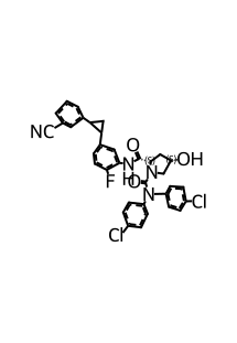 N#Cc1cccc(C2CC2c2ccc(F)c(NC(=O)[C@@H]3C[C@H](O)CN3C(=O)N(c3ccc(Cl)cc3)c3ccc(Cl)cc3)c2)c1